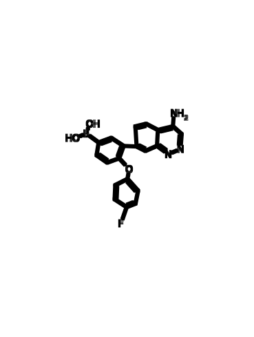 Nc1cnnc2cc(-c3cc(B(O)O)ccc3Oc3ccc(F)cc3)ccc12